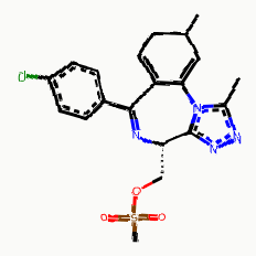 Cc1nnc2n1C1=CC(C)CC=C1C(c1ccc(Cl)cc1)=N[C@H]2COS(C)(=O)=O